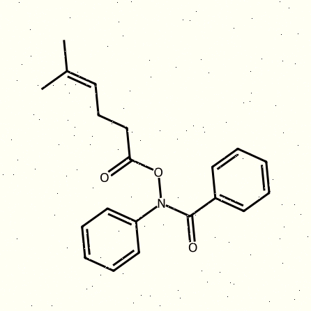 CC(C)=CCCC(=O)ON(C(=O)c1ccccc1)c1ccccc1